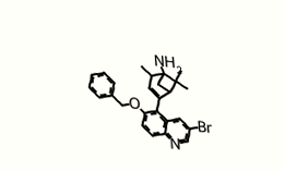 CC1C=C(c2c(OCc3ccccc3)ccc3ncc(Br)cc23)C2CC1(N)C2(C)C